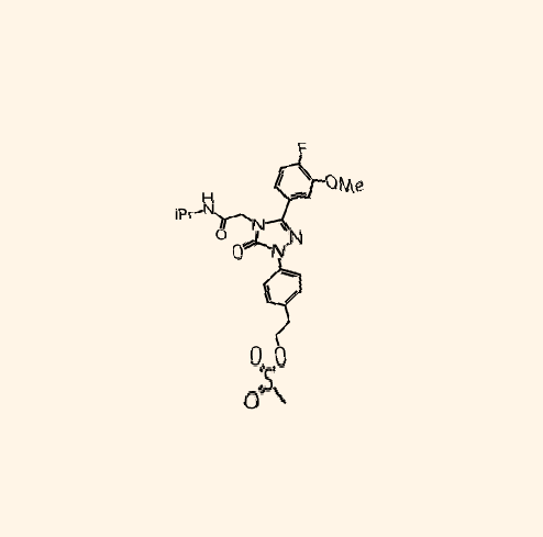 COc1cc(-c2nn(-c3ccc(CCOS(C)(=O)=O)cc3)c(=O)n2CC(=O)NC(C)C)ccc1F